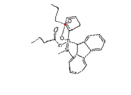 CCCC(=O)[O][Ti]([O]C(=O)CCC)([C]1=CC=CC1)([CH]1c2ccccc2-c2ccccc21)=[Si](C)C